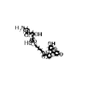 Nc1ccn([C@H]2CC(O)[C@@H](COP(=O)(O)OCCCCCCNC(=O)c3cccc(-c4c5ccc(=O)cc-5oc5cc(O)ccc45)c3)O2)c(=O)n1